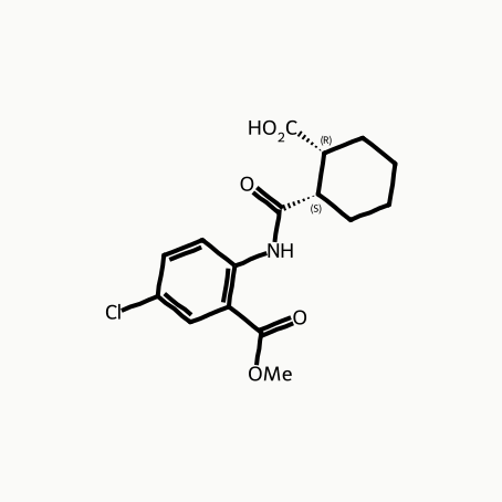 COC(=O)c1cc(Cl)ccc1NC(=O)[C@H]1CCCC[C@H]1C(=O)O